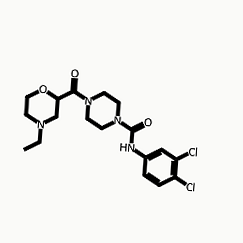 CCN1CCOC(C(=O)N2CCN(C(=O)Nc3ccc(Cl)c(Cl)c3)CC2)C1